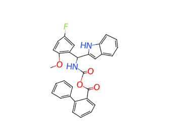 COc1ccc(F)cc1C(NC(=O)OC(=O)c1ccccc1-c1ccccc1)c1cc2ccccc2[nH]1